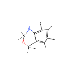 Cc1c(C)c(C)c2c(c1C)N[Si](C)(C)OC2(C)C